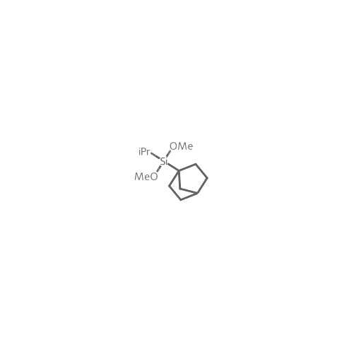 CO[Si](OC)(C(C)C)C12CCC(CC1)C2